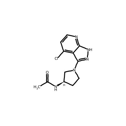 CC(=O)N[C@@H]1CCN(c2n[nH]c3nccc(Cl)c23)C1